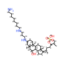 CC(C)[C@@H](CC[C@@H](C)[C@H]1CCC2C3C(CC[C@@]21C)[C@@]1(C)CC[C@H](NCCCNCCCCCCCCN)C[C@@H]1C[C@H]3O)OS(=O)(=O)O